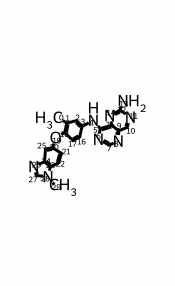 Cc1cc(Nc2ncnc3cnc(N)nc23)ccc1Oc1ccc2c(c1)ncn2C